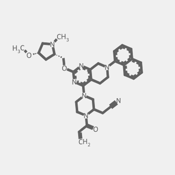 C=CC(=O)N1CCN(c2nc(OC[C@@H]3C[C@H](OC)CN3C)nc3c2CCN(c2cccc4ccccc24)C3)CC1CC#N